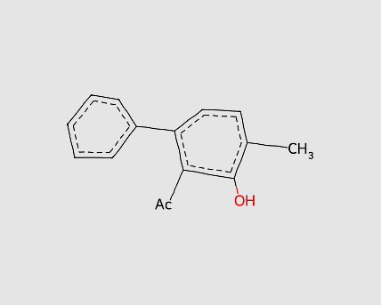 CC(=O)c1c(-c2ccccc2)ccc(C)c1O